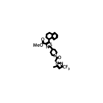 COC(=O)c1nc(C2CCN(C(=O)Cn3nc(C(F)(F)F)cc3C)CC2)sc1C1CCCc2ccccc21